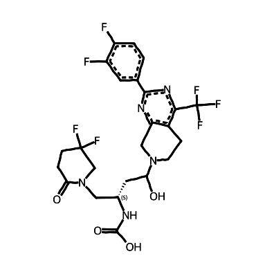 O=C(O)N[C@@H](CC(O)N1CCc2c(nc(-c3ccc(F)c(F)c3)nc2C(F)(F)F)C1)CN1CC(F)(F)CCC1=O